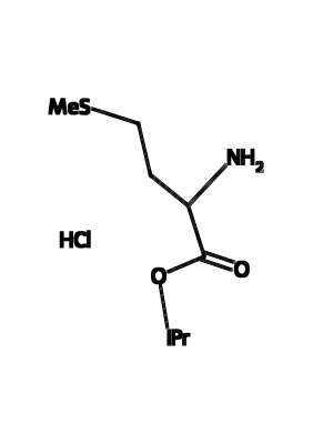 CSCCC(N)C(=O)OC(C)C.Cl